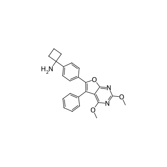 COc1nc(OC)c2c(-c3ccccc3)c(-c3ccc(C4(N)CCC4)cc3)oc2n1